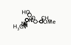 COc1ccc([C@H]2CC[C@H](CN(c3cccc(-n4nnc(C)n4)c3)C(=O)[C@H]3CC[C@H](O)CC3)CC2)cc1C